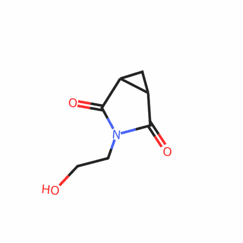 O=C1C2CC2C(=O)N1CCO